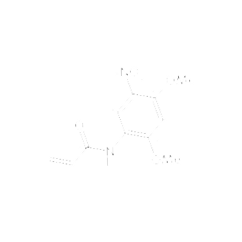 C=CC(=O)Nc1cc([N+](=O)[O-])c(OC)cc1OC